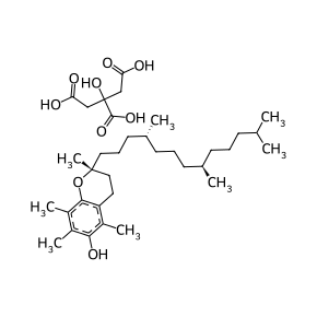 Cc1c(C)c2c(c(C)c1O)CC[C@@](C)(CCC[C@H](C)CCC[C@H](C)CCCC(C)C)O2.O=C(O)CC(O)(CC(=O)O)C(=O)O